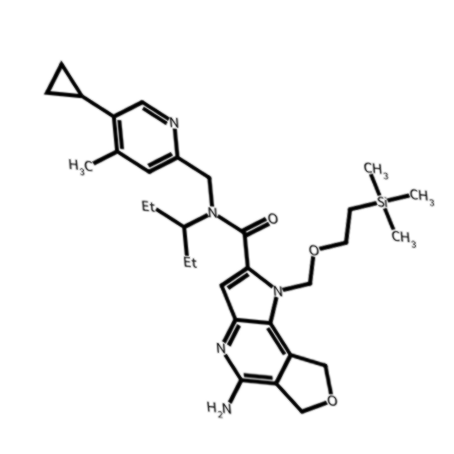 CCC(CC)N(Cc1cc(C)c(C2CC2)cn1)C(=O)c1cc2nc(N)c3c(c2n1COCC[Si](C)(C)C)COC3